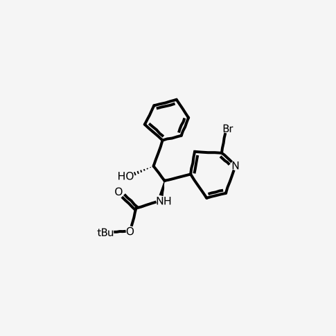 CC(C)(C)OC(=O)N[C@H](c1ccnc(Br)c1)[C@H](O)c1ccccc1